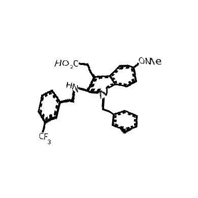 COc1ccc2c(c1)c(CC(=O)O)c(NCc1cccc(C(F)(F)F)c1)n2Cc1ccccc1